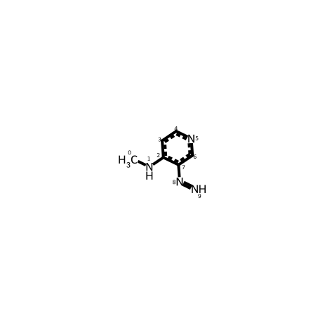 CNc1ccncc1N=N